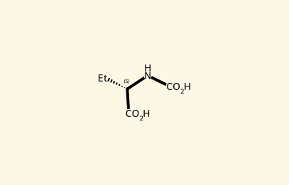 CC[C@H](NC(=O)O)C(=O)O